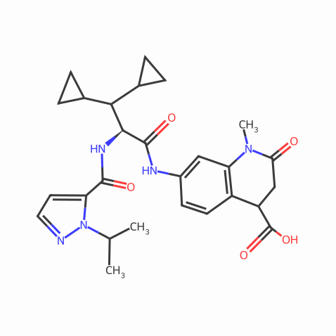 CC(C)n1nccc1C(=O)N[C@H](C(=O)Nc1ccc2c(c1)N(C)C(=O)CC2C(=O)O)C(C1CC1)C1CC1